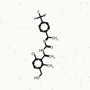 C=C(NC(=O)/N=C(\C)c1ccc(C(F)(F)F)cc1)c1c(Cl)ccc(CO)c1C